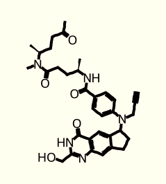 C#CCN(c1ccc(C(=O)N[C@H](C)CCC(=O)N(C)[C@@H](C)CCC(C)=O)cc1)C1CCc2cc3nc(CO)[nH]c(=O)c3cc21